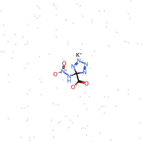 O=C([O-])C1(N[N+](=O)[O-])N=NN=N1.[K+]